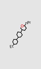 CCCC1CCC(C2CCC(C3CCC(CC)CC3)CC2)CO1